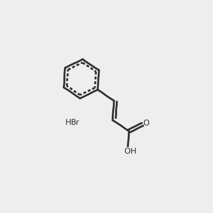 Br.O=C(O)C=Cc1ccccc1